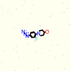 [N-]=[N+]=Nc1ccc(N2CCC(=O)CC2)c(F)c1